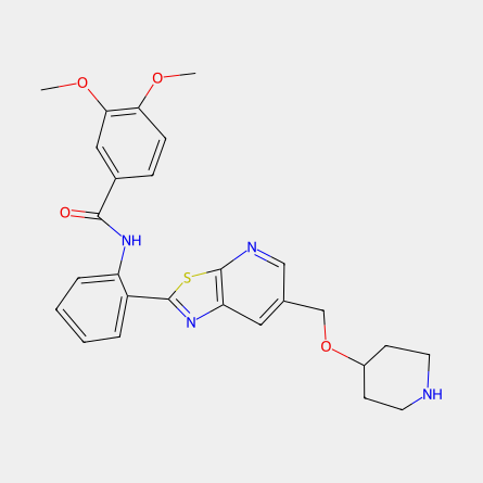 COc1ccc(C(=O)Nc2ccccc2-c2nc3cc(COC4CCNCC4)cnc3s2)cc1OC